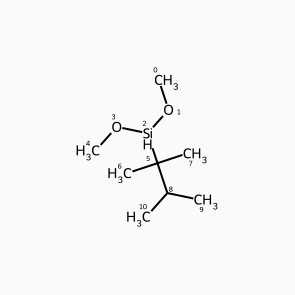 CO[SiH](OC)C(C)(C)C(C)C